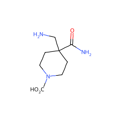 NCC1(C(N)=O)CCN(C(=O)O)CC1